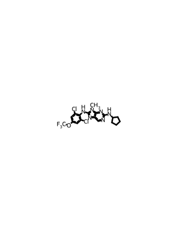 Cn1c(Nc2c(Cl)cc(OC(F)(F)F)cc2Cl)nc2cnc(NC3CCCC3)nc21